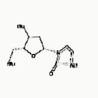 CC(C)(C)C[C@H]1O[C@@H](n2cc[nH]c2=O)CC1C(C)(C)C